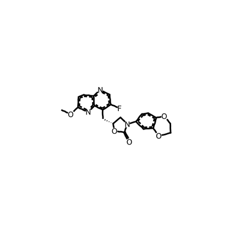 COc1ccc2ncc(F)c(C[C@@H]3CN(c4ccc5c(c4)OCCO5)C(=O)O3)c2n1